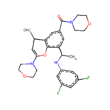 CC(Nc1cc(F)cc(F)c1)c1cc(C(=O)N2CCOCC2)cc2c1OC(N1CCOCC1)=CC2C=O